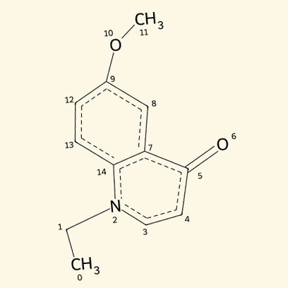 CCn1ccc(=O)c2cc(OC)ccc21